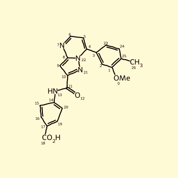 COc1cc(-c2ccnc3cc(C(=O)Nc4ccc(C(=O)O)cc4)nn23)ccc1C